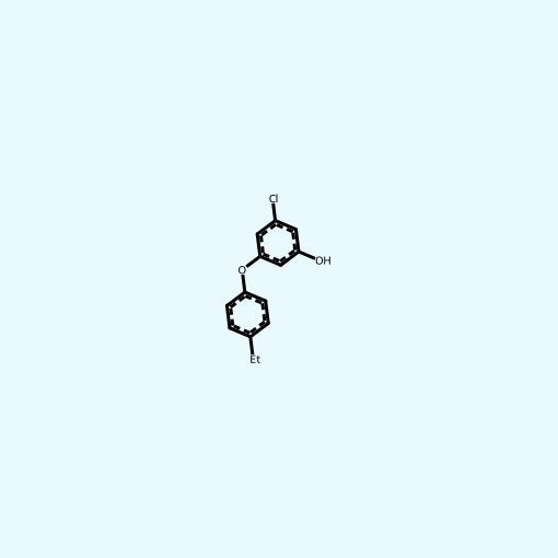 CCc1ccc(Oc2cc(O)cc(Cl)c2)cc1